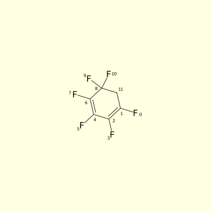 FC1=C(F)C(F)=C(F)C(F)(F)C1